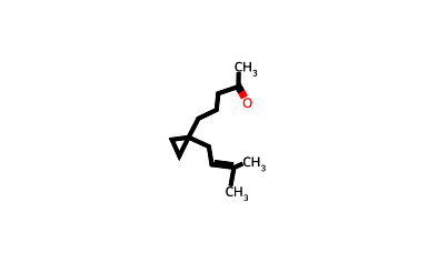 CC(=O)CCCC1(CC=C(C)C)CC1